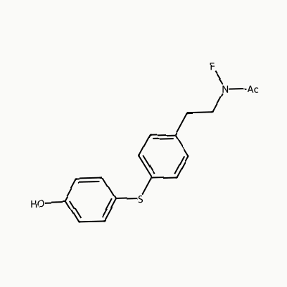 CC(=O)N(F)CCc1ccc(Sc2ccc(O)cc2)cc1